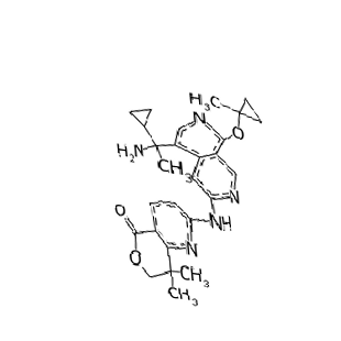 CC1(Oc2ncc(C(C)(N)C3CC3)c3cc(Nc4ccc5c(n4)C(C)(C)COC5=O)ncc23)CC1